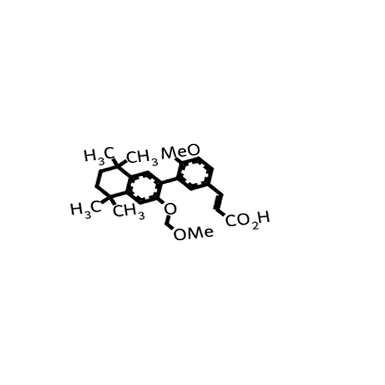 COCOc1cc2c(cc1-c1cc(C=CC(=O)O)ccc1OC)C(C)(C)CCC2(C)C